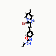 CCNc1nc2ccc(CCc3nc4cc(C)ccn4c3Br)cc2o1